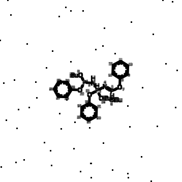 CC(C)COP(N[PH](N=[PH](OCC(C)C)Oc1ccccc1)(OCC(C)C)Oc1ccccc1)Oc1ccccc1